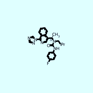 CC(C)CN(C(=O)Nc1ccc(F)cc1)[C@@H](C)c1cnc(-n2cncn2)c2ccccc12